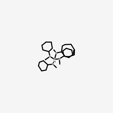 CN(C1CC/C=C\CCC1)[PH](N(C)C1CCCCC1)(N(C)C1CCCCC1)N(C)C1CCCCC1